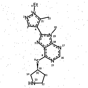 CCn1ncc(-c2nc3c(S[C@H]4CCNC4)ncnc3n2C)c1C